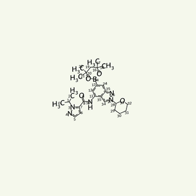 CC(C)n1nccc1C(=O)Nc1cc(B2OC(C)(C)CC(C)(C)O2)cc2nn(C3CCCCO3)cc12